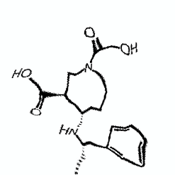 C[C@H](N[C@H]1CCN(C(=O)O)C[C@@H]1C(=O)O)c1ccccc1